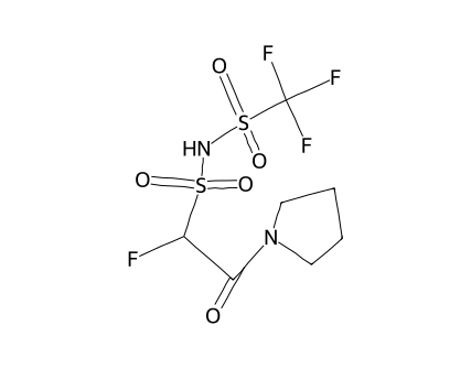 O=C(C(F)S(=O)(=O)NS(=O)(=O)C(F)(F)F)N1CCCC1